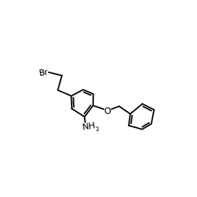 Nc1cc(CCBr)ccc1OCc1ccccc1